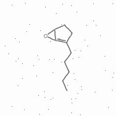 CCCCCC1=C2OC2CC1